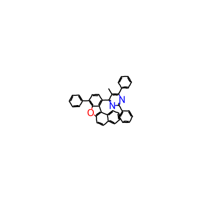 Cc1c(-c2ccccc2)nc(-c2ccccc2)nc1-c1ccc(-c2ccccc2)c2oc3ccc4ccccc4c3c12